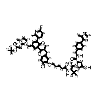 Cc1nc(F)ccc1-c1cc(Cn2ccn(C)c2=NC(=O)OC(C)(C)C)cc2c1OCC(Cc1ccc(Cl)c(OCCCCC(=O)N[C@H](C(=O)N3C[C@H](O)C[C@H]3C(=O)NCc3ccc(-c4scnc4C)cc3)C(C)(C)C)c1)C2=O